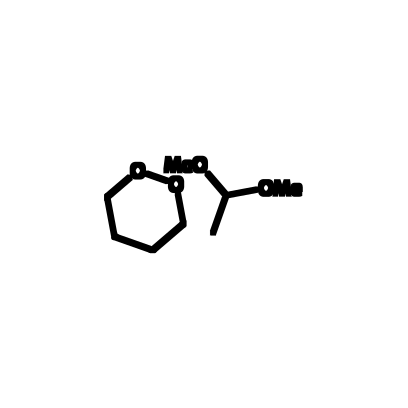 C1CCOOC1.COC(C)OC